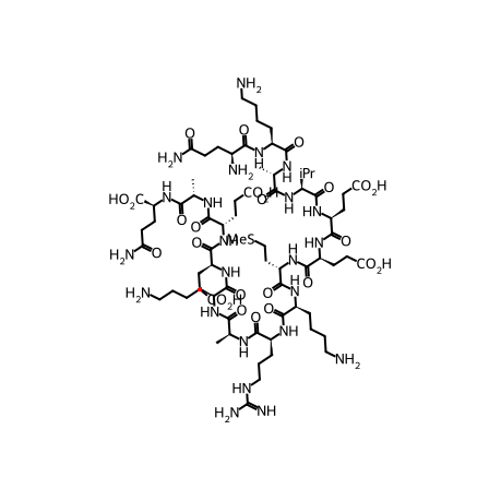 CSCC[C@H](NC(=O)[C@H](CCC(=O)O)NC(=O)[C@H](CCC(=O)O)NC(=O)[C@@H](NC(=O)[C@H](C)NC(=O)[C@H](CCCCN)NC(=O)[C@@H](N)CCC(N)=O)C(C)C)C(=O)N[C@@H](CCCCN)C(=O)N[C@@H](CCCNC(=N)N)C(=O)N[C@@H](C)C(=O)N[C@@H](CCCCN)C(=O)N[C@@H](CCC(=O)O)C(=O)N[C@@H](CCC(=O)O)C(=O)N[C@@H](C)C(=O)N[C@@H](CCC(N)=O)C(=O)O